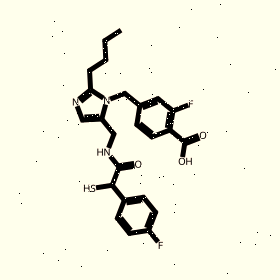 CCCCc1ncc(CNC(=O)C(S)c2ccc(F)cc2)n1Cc1ccc(C(=O)O)c(F)c1